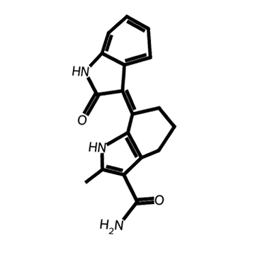 Cc1[nH]c2c(c1C(N)=O)CCC/C2=C1/C(=O)Nc2ccccc21